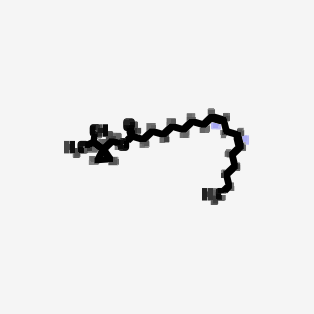 CCCCC/C=C\C/C=C\CCCCCCCC(=O)OCC1(C(C)C)CC1